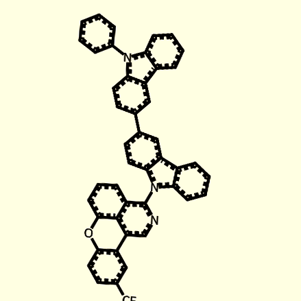 FC(F)(F)c1ccc2c(c1)-c1cnc(-n3c4ccccc4c4cc(-c5ccc6c(c5)c5ccccc5n6-c5ccccc5)ccc43)c3cccc(c13)O2